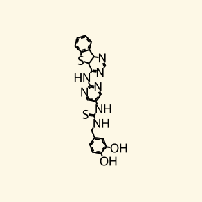 Oc1ccc(CNC(=S)Nc2cnc(NC3=NC=NC4c5ccccc5SC34)nc2)cc1O